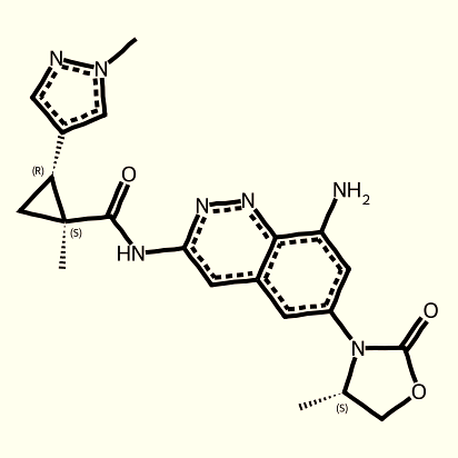 C[C@H]1COC(=O)N1c1cc(N)c2nnc(NC(=O)[C@@]3(C)C[C@@H]3c3cnn(C)c3)cc2c1